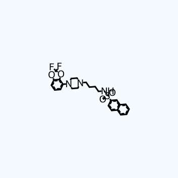 O=S(=O)(NCCCCN1CCN(c2cccc3c2OC(F)(F)O3)CC1)c1ccc2ccccc2c1